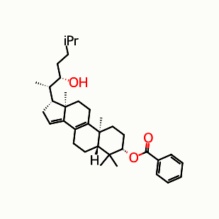 CC(C)CC[C@H](O)[C@@H](C)[C@H]1CC=C2C3=C(CC[C@@]21C)[C@@]1(C)CC[C@H](OC(=O)c2ccccc2)C(C)(C)[C@@H]1CC3